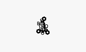 O=C(NCc1c(Br)sc2c1CCCC2)Nc1sc2c(c1C(=O)OC1CCCCC1)CCCC2